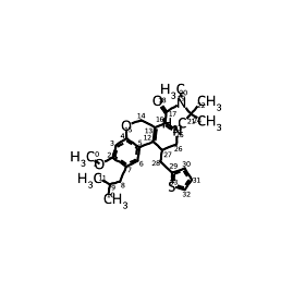 COc1cc2c(cc1CC(C)C)C1=C(CO2)C(C(=O)N(C)C(C)(C)C)=NCC1Cc1cccs1